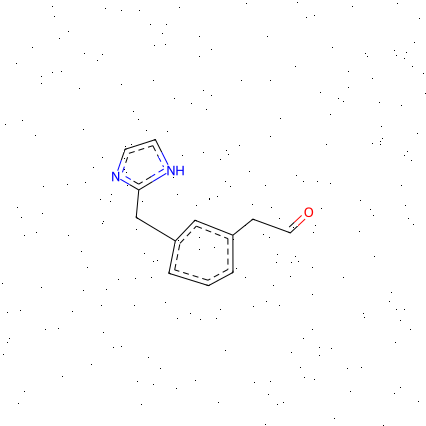 O=CCc1cccc(Cc2ncc[nH]2)c1